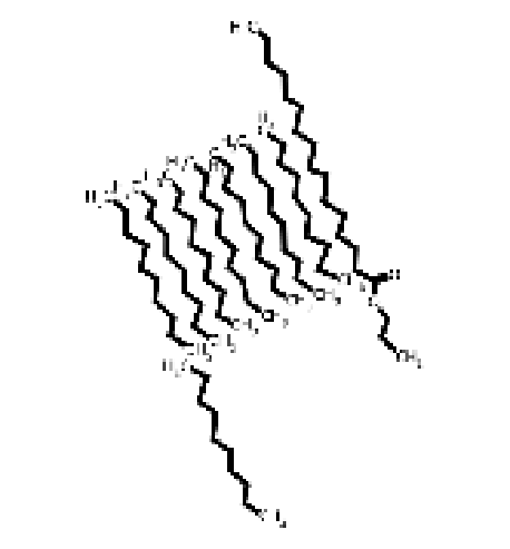 CCCCCCCCCC.CCCCCCCCCC.CCCCCCCCCC.CCCCCCCCCC.CCCCCCCCCC.CCCCCCCCCC.CCCCCCCCCC.CCCCCCCCCC.CCCCCCCCCCCCCCCC(=O)OCCC